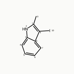 Cc1[nH]c2c[c]ccc2c1I